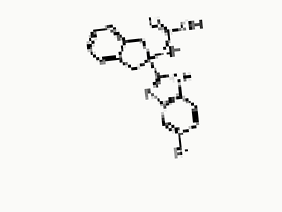 O=C(O)NC1(c2nc3cc(Br)ccc3[nH]2)Cc2ccccc2C1